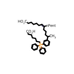 CCCCC/C(=C/CCCCCC(=O)O)CCCC(C)c1cccc([PH](CCCCCCC(=O)O)(c2ccccc2)c2ccccc2)c1